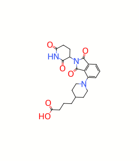 O=C(O)CCCC1CCN(c2cccc3c2C(=O)N(C2CCC(=O)NC2=O)C3=O)CC1